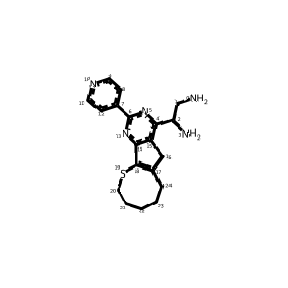 NCC(N)c1nc(-c2ccncc2)nc2c1CC1=C2SCCCCC1